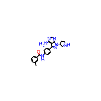 Cc1cccc(C(=O)Nc2ccc(-c3nn([C@@H]4CCNC4)c4ncnc(N)c34)cc2)c1